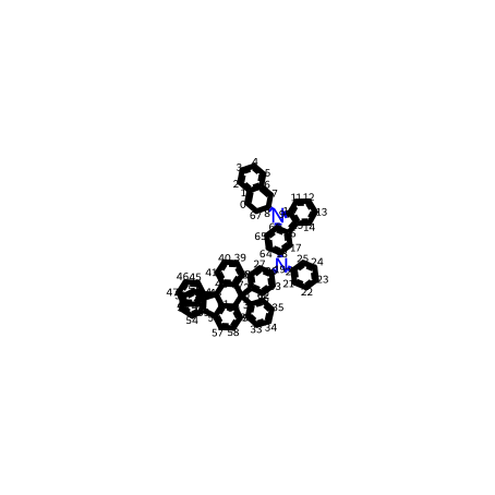 C1=c2ccccc2=CC(n2c3ccccc3c3cc(N(c4ccccc4)c4ccc(C5(c6ccccc6)c6ccccc6C6(c7ccccc7)c7ccccc7-c7cccc5c76)cc4)ccc32)C1